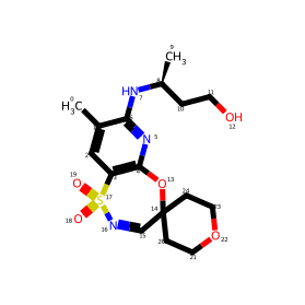 Cc1cc2c(nc1N[C@@H](C)CCO)OC1(C=NS2(=O)=O)CCOCC1